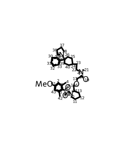 COc1cc(C)c(S(=O)(=O)N2CCCCC2COCC(=O)N(C)CCC2CCC(c3ccccc3)(N3CCCC3)CC2)c(C)c1